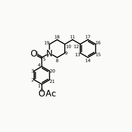 CC(=O)Oc1ccc(C(=O)N2CCC(Cc3ccccc3)CC2)cc1